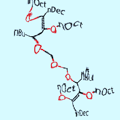 CCCCCCCCCCC(OCCCCCCCC)=C(OCCCCCCCC)C(CCCC)OCOCOC(CCCC)C(OCCCCCCCC)=C(CCCCCCCCCC)OCCCCCCCC